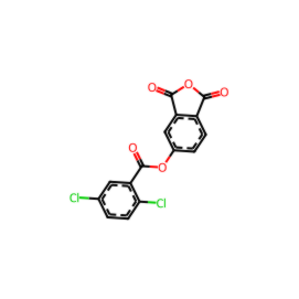 O=C(Oc1ccc2c(c1)C(=O)OC2=O)c1cc(Cl)ccc1Cl